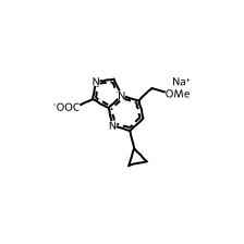 COCc1cc(C2CC2)nc2c(C(=O)[O-])ncn12.[Na+]